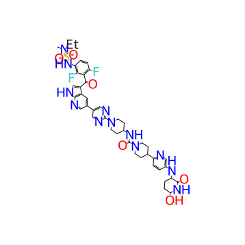 CCN(C)S(=O)(=O)Nc1ccc(F)c(C(=O)c2c[nH]c3ncc(-c4cnc(N5CCC(NC(=O)N6CCC(c7ccc(NC8CCC(O)NC8=O)cn7)CC6)CC5)nc4)cc23)c1F